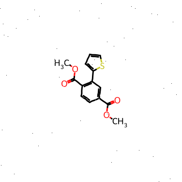 COC(=O)c1ccc(C(=O)OC)c(-c2cccs2)c1